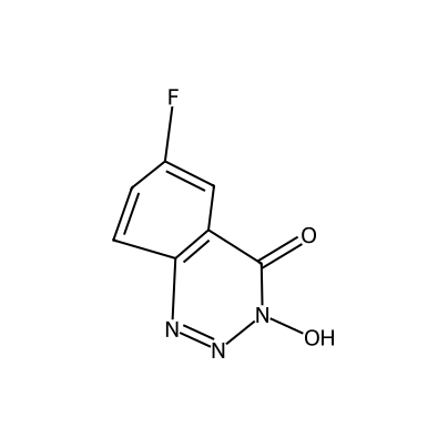 O=c1c2cc(F)ccc2nnn1O